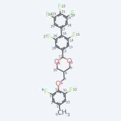 Cc1cc(F)c(OCC2COC(c3cc(F)c(-c4cc(F)c(F)c(F)c4)c(F)c3)OC2)c(F)c1